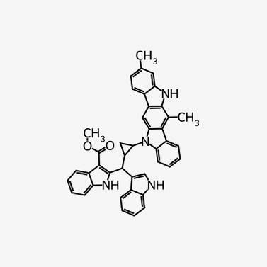 COC(=O)c1c(C(c2c[nH]c3ccccc23)C2CC2n2c3ccccc3c3c(C)c4[nH]c5cc(C)ccc5c4cc32)[nH]c2ccccc12